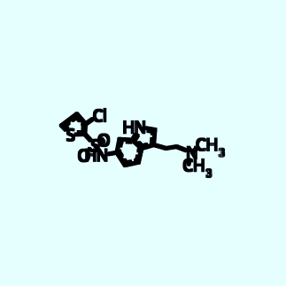 CN(C)CCc1c[nH]c2cc(NS(=O)(=O)c3sccc3Cl)ccc12